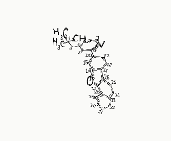 CC(C)(C)Cc1ccnc(-c2ccc3c(c2)oc2c4ccccc4ccc32)c1